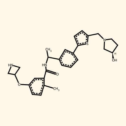 Cc1ccc(OC2CNC2)cc1C(=O)NC(C)c1cccc(-c2ccc(CN3CC[C@@H](O)C3)s2)c1